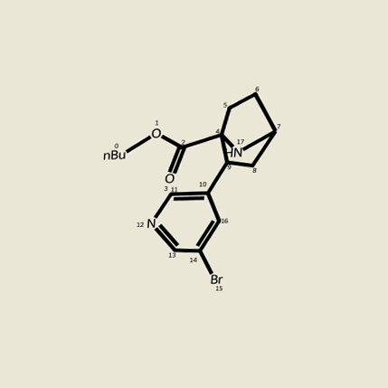 CCCCOC(=O)C12CCC(CC1c1cncc(Br)c1)N2